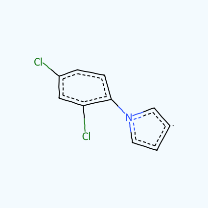 Clc1ccc(-n2c[c]cc2)c(Cl)c1